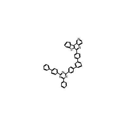 c1ccc(-c2ccc(-c3nc(-c4ccccc4)nc(-c4ccc(-c5cccc(-c6ccc(-c7nc8ccncc8c8c7sc7ccccc78)cc6)c5)cc4)n3)cc2)cc1